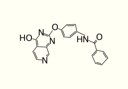 O=C(NCc1ccc(Oc2nc(O)c3ccncc3n2)cc1)c1ccccc1